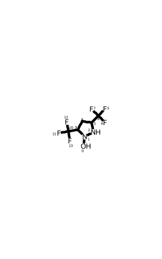 ON1NC(C(F)(F)F)CC1C(F)(F)F